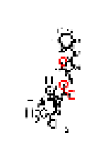 CC(C)=C[C@@H]1[C@@H](C(=O)OCc2coc(Cc3ccccc3)c2)C1(C)C